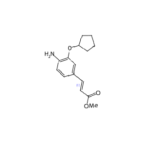 COC(=O)/C=C/c1ccc(N)c(OC2CCCC2)c1